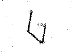 C=C(C(=O)OCCCCCCCCCCCCCCCC(=O)O)C(=O)OCCCCCCCCCCCCCCCC(=O)OCOC(=O)CCCCCCCCCCCCCCCO